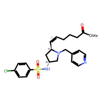 COC(=O)CCC/C=C\[C@@H]1C[C@@H](NS(=O)(=O)c2ccc(Cl)cc2)CN1Cc1ccncc1